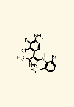 Cc1nn(C)c(Nc2c(F)cccc2Br)c1-c1ccc(N)c(F)c1Cl